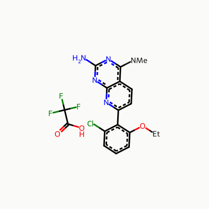 CCOc1cccc(Cl)c1-c1ccc2c(NC)nc(N)nc2n1.O=C(O)C(F)(F)F